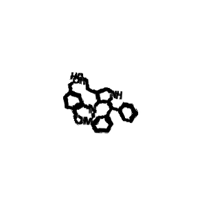 COc1ccc(CO)cc1N(C)C1C(CCO)CNC1C(c1ccccc1)c1ccccc1